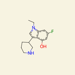 CCn1cc(C2CCCNC2)c2c(O)cc(F)cc21